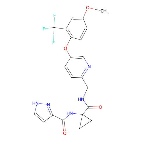 COc1ccc(Oc2ccc(CNC(=O)C3(NC(=O)c4cc[nH]n4)CC3)nc2)c(C(F)(F)F)c1